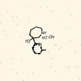 Cc1cccc(C2(O)CCCCNC2)n1.Cl.Cl